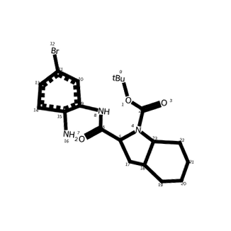 CC(C)(C)OC(=O)N1C(C(=O)Nc2cc(Br)ccc2N)CC2CCCCC21